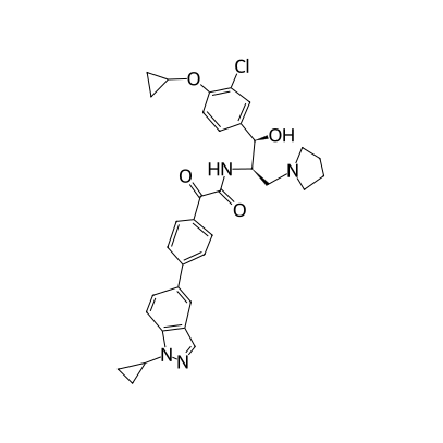 O=C(N[C@H](CN1CCCC1)[C@H](O)c1ccc(OC2CC2)c(Cl)c1)C(=O)c1ccc(-c2ccc3c(cnn3C3CC3)c2)cc1